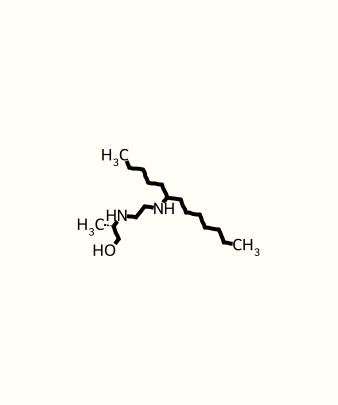 CCCCCCCC(CCCCC)NCCN[C@@H](C)CO